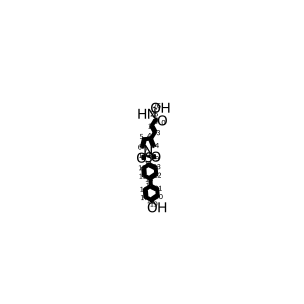 O=C(/C=C/c1ccn(S(=O)(=O)c2ccc(-c3ccc(O)cc3)cc2)c1)NO